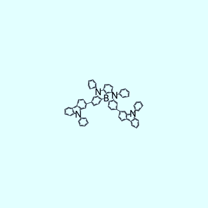 c1ccc(N2c3cc(-c4ccc5c6ccccc6n(-c6ccccc6)c5c4)ccc3B3c4ccc(-c5ccc6c7ccccc7n(-c7ccccc7)c6c5)cc4N(c4ccccc4)c4cccc2c43)cc1